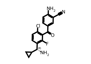 N#Cc1cc(C(=O)c2c(Cl)ccc([C@H](N)C3CC3)c2F)ccc1N